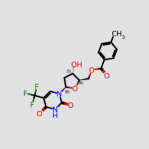 Cc1ccc(C(=O)OC[C@H]2O[C@@H](n3cc(C(F)(F)F)c(=O)[nH]c3=O)C[C@@H]2O)cc1